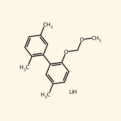 COCOc1[c]cc(C)cc1-c1cc(C)ccc1C.[LiH]